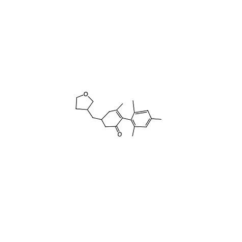 CC1=C(c2c(C)cc(C)cc2C)C(=O)CC(CC2CCOC2)C1